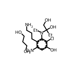 CCN(c1c(Cl)c(O)cc([N+](=O)[O-])c1CCCN)C(O)(CC)CO.OCCCO